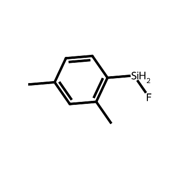 Cc1ccc([SiH2]F)c(C)c1